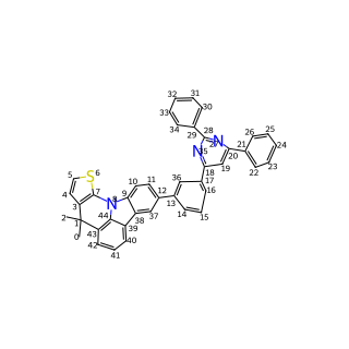 CC1(C)c2ccsc2-n2c3ccc(-c4cccc(-c5cc(-c6ccccc6)nc(-c6ccccc6)n5)c4)cc3c3cccc1c32